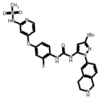 CC(C)(C)c1cc(NC(=O)Nc2ccc(Oc3ccnc(NS(C)(=O)=O)c3)cc2F)n(-c2ccc3c(c2)CCNC3)n1